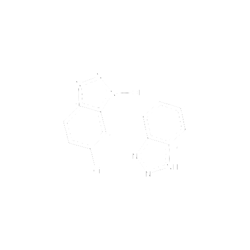 On1nnc2ccc(Cl)cc21.c1ccc2[nH]nnc2c1